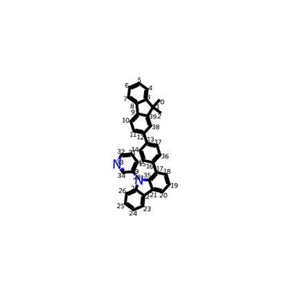 CC1(C)c2ccccc2-c2ccc(-c3ccc(-c4cccc5c6ccccc6n(-c6cccnc6)c45)cc3)cc21